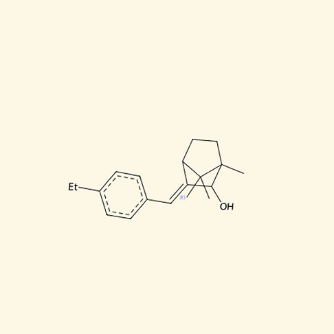 CCc1ccc(/C=C2\C3CCC(C)(C2O)C3(C)C)cc1